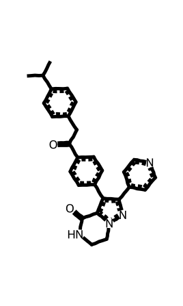 CC(C)c1ccc(CC(=O)c2ccc(-c3c(-c4ccncc4)nn4c3C(=O)NCC4)cc2)cc1